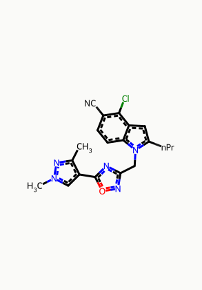 CCCc1cc2c(Cl)c(C#N)ccc2n1Cc1noc(-c2cn(C)nc2C)n1